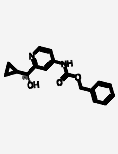 O=C(Nc1ccnc([C@H](O)C2CC2)c1)OCc1ccccc1